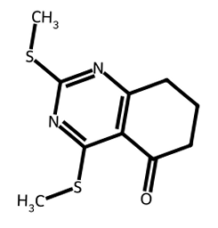 CSc1nc2c(c(SC)n1)C(=O)CCC2